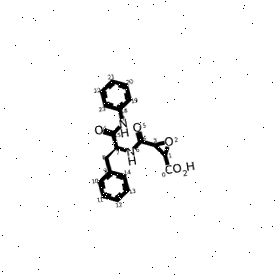 O=C(O)C1OC1C(=O)N[C@@H](Cc1ccccc1)C(=O)Nc1ccccc1